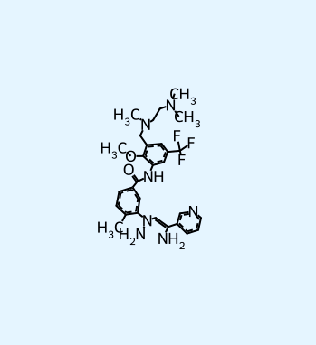 COc1c(CN(C)CCN(C)C)cc(C(F)(F)F)cc1NC(=O)c1ccc(C)c(N(N)/C=C(\N)c2cccnc2)c1